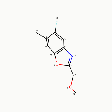 COCc1nc2cc(F)c(C)cc2o1